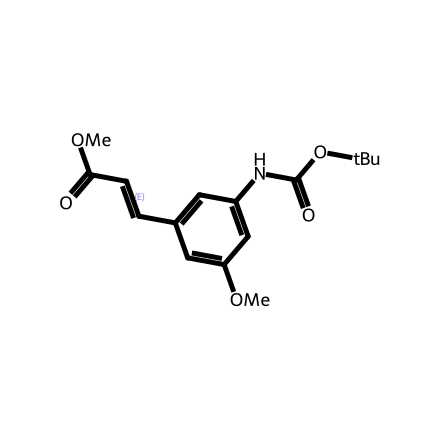 COC(=O)/C=C/c1cc(NC(=O)OC(C)(C)C)cc(OC)c1